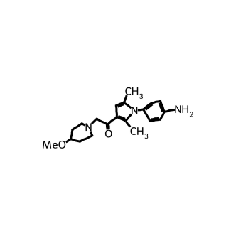 COC1CCN(CC(=O)c2cc(C)n(-c3ccc(N)cc3)c2C)CC1